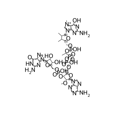 CCP(=O)(OP(=O)(O)OC[C@H]1O[C@@H](n2c[n+](C)c3c(O)nc(N)nc32)C(C)C1C)OP(=O)(O)OC[C@H]1O[C@@H](n2cnc3c(N)ncnc32)C(OC)C1OP(=O)(O)OC[C@H]1O[C@@H](n2cnc3c(=O)[nH]c(N)nc32)C(O)C1O